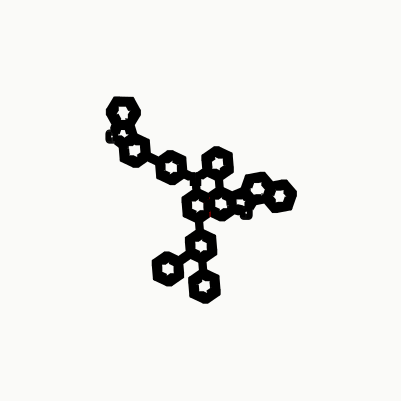 c1ccc(-c2ccc(-c3ccc(N(c4ccc(-c5ccc6oc7ccccc7c6c5)cc4)c4ccccc4-c4cccc5oc6c7ccccc7ccc6c45)cc3)cc2-c2ccccc2)cc1